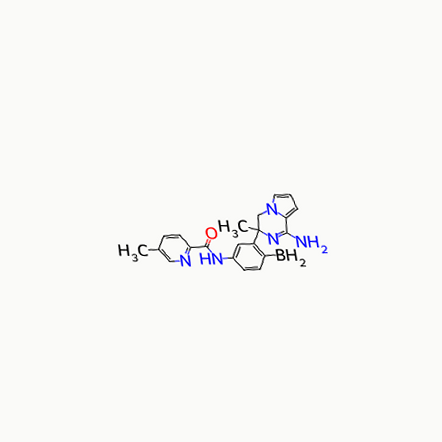 Bc1ccc(NC(=O)c2ccc(C)cn2)cc1C1(C)Cn2cccc2C(N)=N1